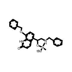 CC(C)(C)[Si](C)(C)OC(CNCc1ccccc1)c1ccc(OCc2ccccc2)c2[nH]c(=O)ccc12